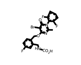 Cc1nc(OCc2ccc(F)cc2CNC(=O)O)c(Br)c(=O)n1-c1c(F)cccc1F